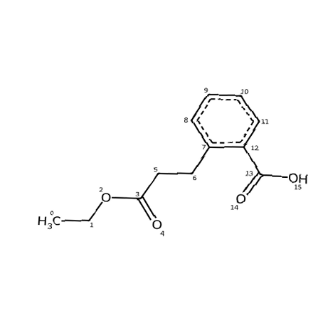 CCOC(=O)CCc1ccccc1C(=O)O